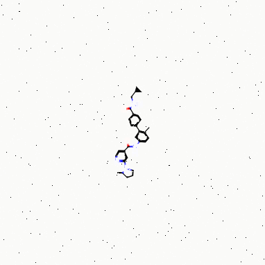 Cc1ccc(NC(=O)c2ccnc(N3CCCC3C)c2)cc1-c1ccc(C(=O)NCC2CC2)cc1